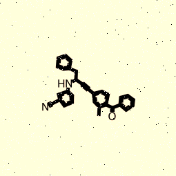 Cc1cc(C#CC(Cc2ccccc2)Nc2cccc(C#N)c2)ccc1C(=O)c1ccccc1